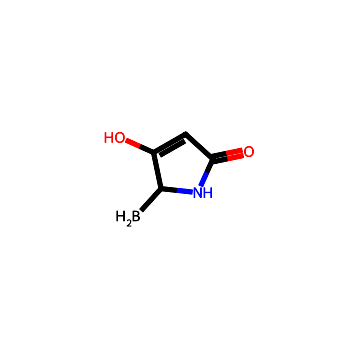 BC1NC(=O)C=C1O